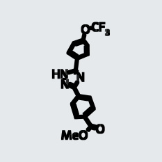 COC(=O)c1ccc(-c2n[nH]c(-c3ccc(OC(F)(F)F)cc3)n2)cc1